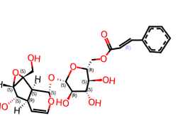 O=C(/C=C/c1ccccc1)OC[C@H]1O[C@@H](O[C@@H]2OC=C[C@H]3[C@H](O)[C@@H]4O[C@]4(CO)[C@@H]23)[C@H](O)[C@@H](O)[C@@H]1O